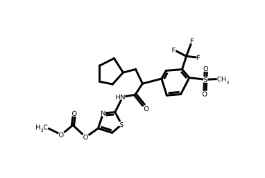 COC(=O)Oc1csc(NC(=O)C(CC2CCCC2)c2ccc(S(C)(=O)=O)c(C(F)(F)F)c2)n1